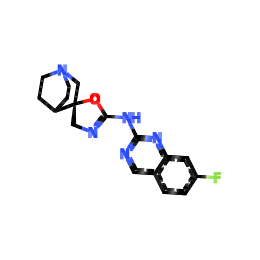 Fc1ccc2cnc(NC3=NC[C@@]4(CN5CCC4CC5)O3)nc2c1